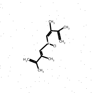 C=C(C)C(C)=[CH][Ir]([Cl])[CH]=C(C)C(=C)C